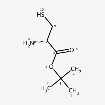 CC(C)(C)OC(=O)[C@H](N)CS